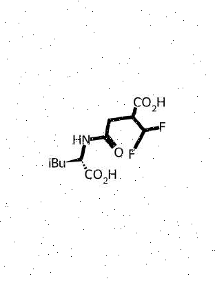 CC[C@H](C)[C@H](NC(=O)CC(C(=O)O)C(F)F)C(=O)O